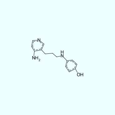 Nc1ccncc1CCCNc1ccc(O)cc1